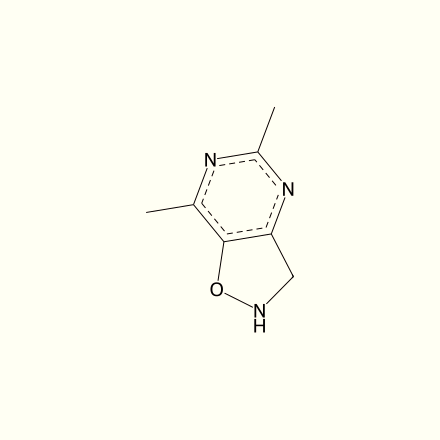 Cc1nc(C)c2c(n1)CNO2